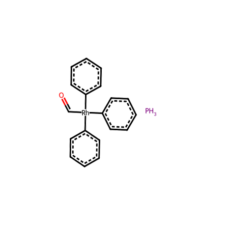 O=[CH][Rh]([c]1ccccc1)([c]1ccccc1)[c]1ccccc1.P